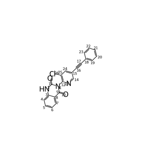 O=c1[nH]c2ccccc2c(=O)n1-c1ncc(C#Cc2ccccc2)cc1Cl